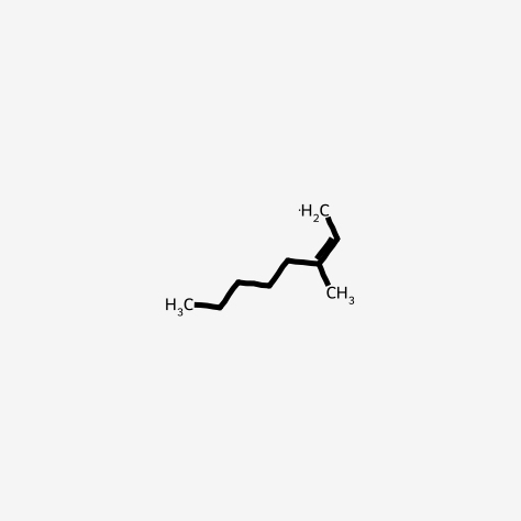 [CH2]C=C(C)CCCCC